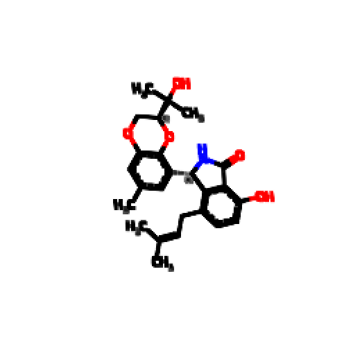 CC(C)=CCc1ccc(O)c2c1[C@H](c1cc(C)cc3c1O[C@H](C(C)(C)O)CO3)NC2=O